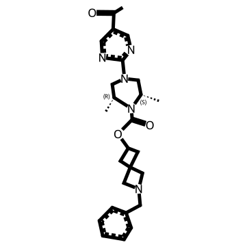 CC(=O)c1cnc(N2C[C@@H](C)N(C(=O)OC3CC4(C3)CN(Cc3ccccc3)C4)[C@@H](C)C2)nc1